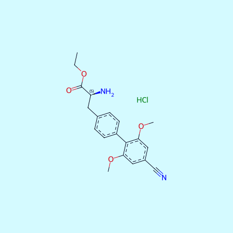 CCOC(=O)[C@@H](N)Cc1ccc(-c2c(OC)cc(C#N)cc2OC)cc1.Cl